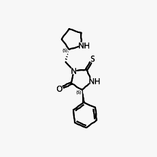 O=C1[C@H](c2ccccc2)NC(=S)N1C[C@@H]1CCCN1